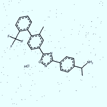 Cc1cc(-c2nc(-c3ccc(C(C)N)cc3)no2)ccc1-c1ccccc1C(F)(F)F.Cl